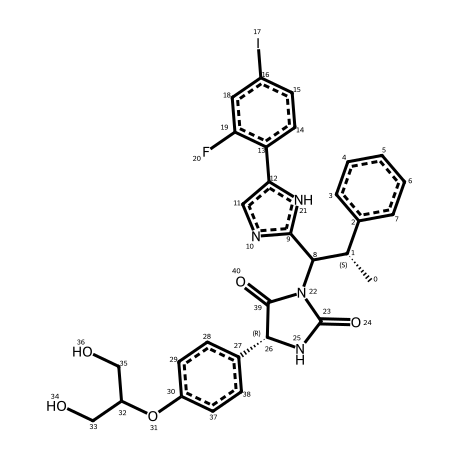 C[C@@H](c1ccccc1)C(c1ncc(-c2ccc(I)cc2F)[nH]1)N1C(=O)N[C@H](c2ccc(OC(CO)CO)cc2)C1=O